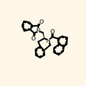 O=C1c2ccccc2C(=O)N1C[C@@H]1Cc2ccccc2CN1C(=O)c1cccc2ccccc12